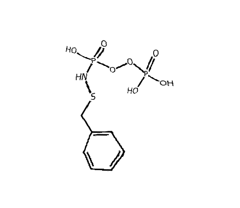 O=P(O)(O)OOP(=O)(O)NSCc1ccccc1